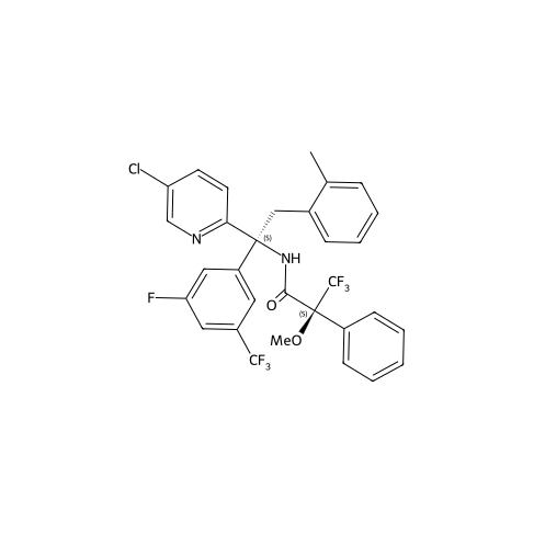 CO[C@](C(=O)N[C@@](Cc1ccccc1C)(c1cc(F)cc(C(F)(F)F)c1)c1ccc(Cl)cn1)(c1ccccc1)C(F)(F)F